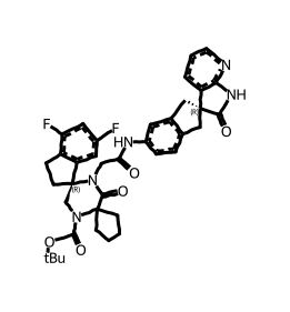 CC(C)(C)OC(=O)N1C[C@]2(CCc3c(F)cc(F)cc32)N(CC(=O)Nc2ccc3c(c2)C[C@@]2(C3)C(=O)Nc3ncccc32)C(=O)C12CCCC2